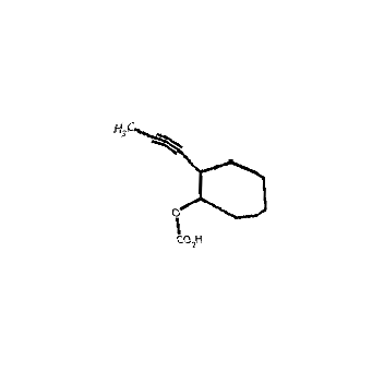 CC#CC1CCCCC1OC(=O)O